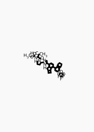 COC(=O)NC(C(=O)N1CCCC1c1ncc(-c2ccc(-c3ccc(OS(=O)(=O)C(F)(F)F)c4c3C3CCC4C3)c3c2CC2CCC32)[nH]1)C(C)C